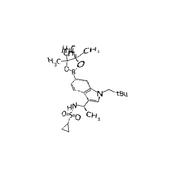 C[C@@H](NS(=O)(=O)C1CC1)c1cn(CC(C)(C)C)c2cc(B3OC(C)(C)C(C)(C)O3)ccc12